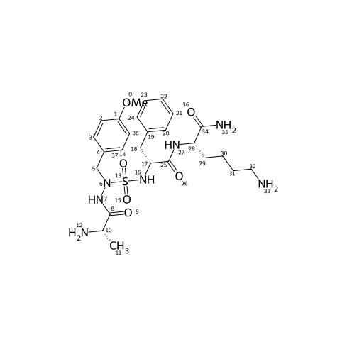 COc1ccc(CN(NC(=O)[C@H](C)N)S(=O)(=O)N[C@H](Cc2ccccc2)C(=O)N[C@@H](CCCCN)C(N)=O)cc1